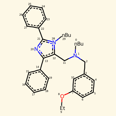 CCCCN(Cc1cccc(OCC)c1)Cc1c(-c2ccccc2)nc(-c2ccccc2)n1CCCC